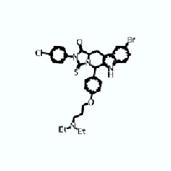 CCN(CC)CCCOc1ccc(C2c3[nH]c4ccc(Br)cc4c3CC3C(=O)N(c4ccc(Cl)cc4)C(=S)N32)cc1